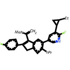 C=C(NC)C1=C(c2ccc(F)cc2)Cc2cc(CCC)c(-c3cnc(F)c(C4CC4CC)c3)cc21